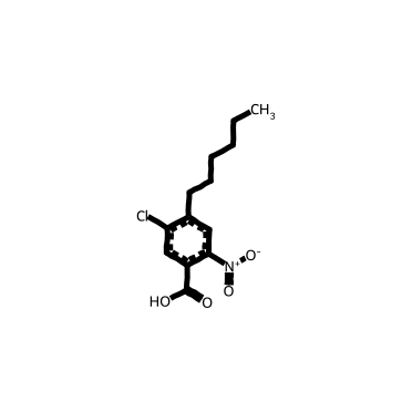 CCCCCCc1cc([N+](=O)[O-])c(C(=O)O)cc1Cl